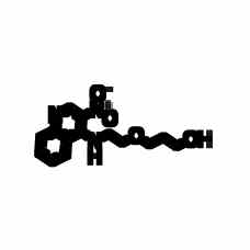 O=[N+]([O-])c1cnc2ccccc2c1NCCOCCCO